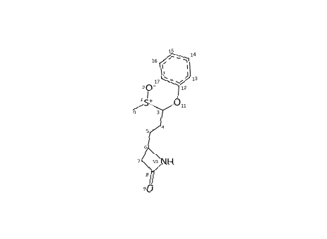 C[S+]([O-])C(CCC1CC(=O)N1)Oc1ccccc1